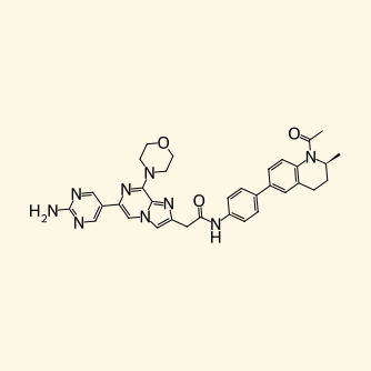 CC(=O)N1c2ccc(-c3ccc(NC(=O)Cc4cn5cc(-c6cnc(N)nc6)nc(N6CCOCC6)c5n4)cc3)cc2CC[C@@H]1C